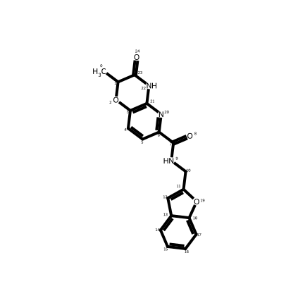 CC1Oc2ccc(C(=O)NCc3cc4ccccc4o3)nc2NC1=O